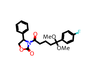 COC(CCCC(=O)N1C(=O)OCC1c1ccccc1)(OC)c1ccc(F)cc1